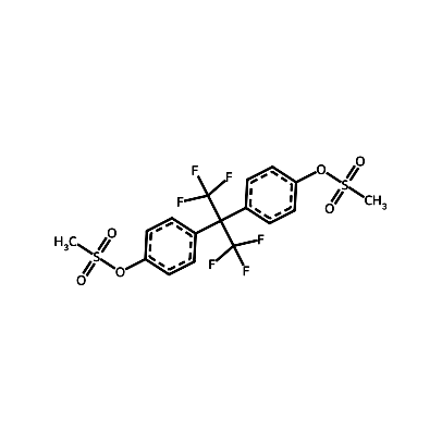 CS(=O)(=O)Oc1ccc(C(c2ccc(OS(C)(=O)=O)cc2)(C(F)(F)F)C(F)(F)F)cc1